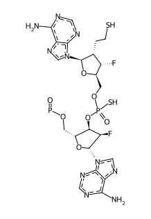 Nc1ncnc2c1ncn2[C@@H]1O[C@H](COP=O)[C@@H](OP(=O)(S)OC[C@H]2O[C@@H](n3cnc4c(N)ncnc43)[C@H](CCS)[C@@H]2F)[C@H]1F